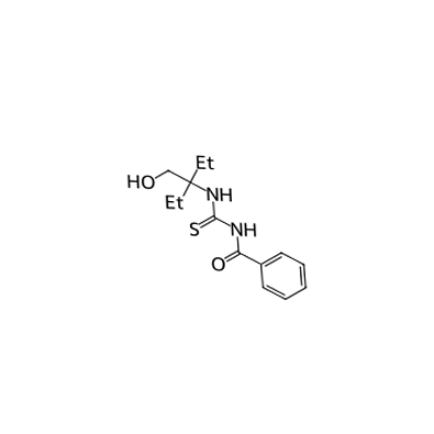 CCC(CC)(CO)NC(=S)NC(=O)c1ccccc1